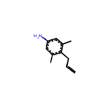 C=CCc1c(C)cc(N)cc1C